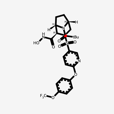 CC(C)(C)C(=O)N1[C@@H]2CC[C@H]1[C@H](C(=O)NO)N(S(=O)(=O)c1ccc(Oc3ccc(OC(F)(F)F)cc3)nc1)C2